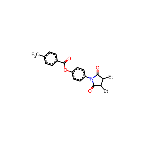 CCC1C(=O)N(c2ccc(OC(=O)c3ccc(C(F)(F)F)cc3)cc2)C(=O)C1CC